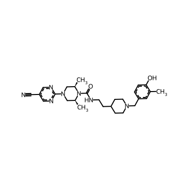 Cc1cc(CN2CCC(CCNC(=O)N3[C@H](C)CN(c4ncc(C#N)cn4)C[C@@H]3C)CC2)ccc1O